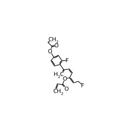 C=CC(=O)OC(/C=C\C(=C)c1ccc(OC(=O)C=C)cc1F)=C/CF